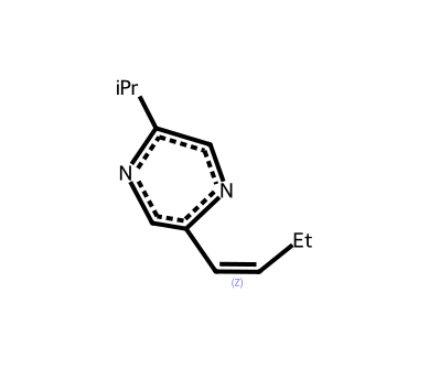 CC/C=C\c1cnc(C(C)C)cn1